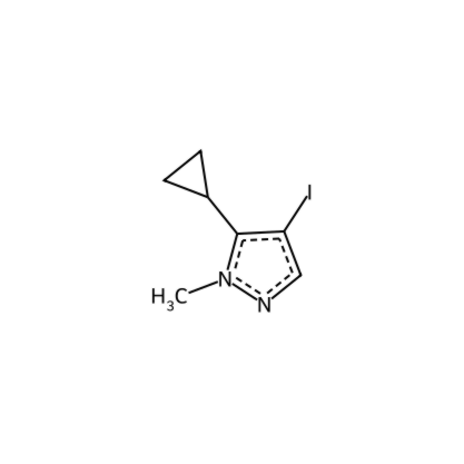 Cn1ncc(I)c1C1CC1